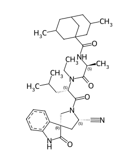 CCN(C(=O)[C@H](C)NC(=O)C12CC(C)CC(CC(C)C1)C2)[C@@H](CC(C)C)C(=O)N1C[C@]2(C[C@H]1C#N)C(=O)Nc1ccccc12